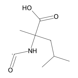 CC(C)CC(C)(N[C]=O)C(=O)O